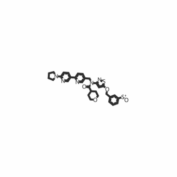 O=[S+]c1cccc(COc2cc(N(Cc3ccc(-c4ccc(N5CCCC5)nc4)nc3)C(=O)C3CCOCC3)ns2)c1